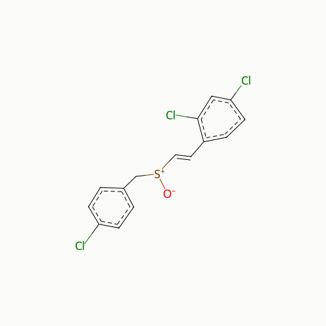 [O-][S+](C=Cc1ccc(Cl)cc1Cl)Cc1ccc(Cl)cc1